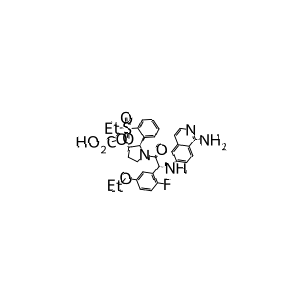 CCOc1ccc(F)c([C@@H](Nc2ccc3c(N)nccc3c2)C(=O)N2CC[C@H](OC(=O)O)[C@H]2c2ccccc2S(=O)(=O)CC)c1